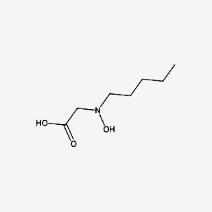 CCCCCN(O)CC(=O)O